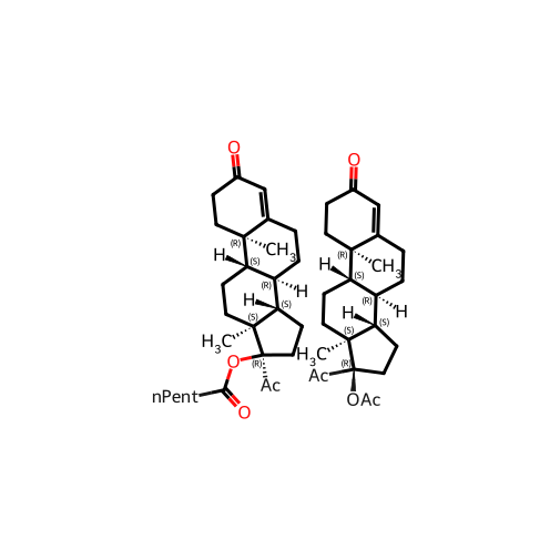 CC(=O)O[C@]1(C(C)=O)CC[C@H]2[C@@H]3CCC4=CC(=O)CC[C@]4(C)[C@H]3CC[C@@]21C.CCCCCC(=O)O[C@]1(C(C)=O)CC[C@H]2[C@@H]3CCC4=CC(=O)CC[C@]4(C)[C@H]3CC[C@@]21C